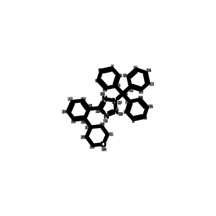 c1ccc(C(c2ccccc2)(c2ccccc2)n2nnc(-c3ccccc3C3CCOCC3)n2)cc1